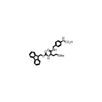 CSCCC(NC(=O)OCC1c2ccccc2-c2ccccc21)C(=O)NCc1ccc(NC(=O)O)cc1